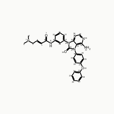 CN(C)C/C=C/C(=O)Nc1cccc(-n2c(=O)n(-c3ccc(Oc4ccccc4)cc3)c3c(N)ncnc32)c1